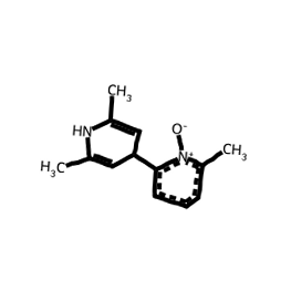 CC1=CC(c2cccc(C)[n+]2[O-])C=C(C)N1